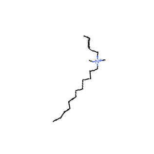 CC=CC[N+](C)(C)CCCCCCCCCCCC